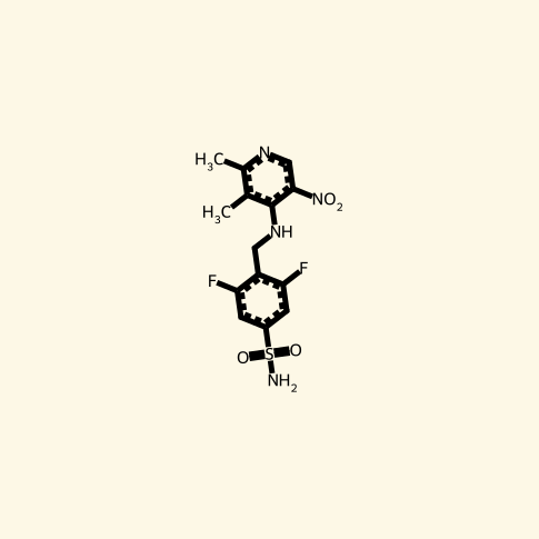 Cc1ncc([N+](=O)[O-])c(NCc2c(F)cc(S(N)(=O)=O)cc2F)c1C